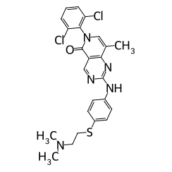 Cc1cn(-c2c(Cl)cccc2Cl)c(=O)c2cnc(Nc3ccc(SCCN(C)C)cc3)nc12